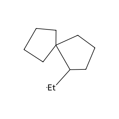 C[CH]C1CCCC12CCCC2